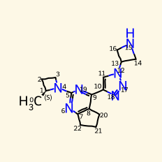 C[C@H]1CCN1c1nc2c(c(-c3cn(C4CNC4)nn3)n1)CCC2